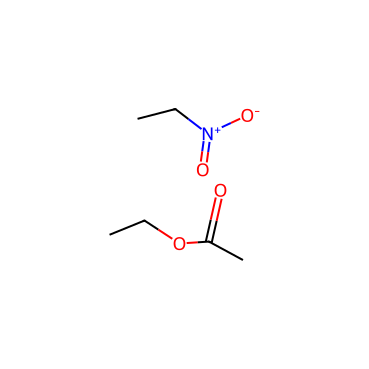 CCOC(C)=O.CC[N+](=O)[O-]